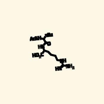 CCCC[C@H](NC(C)=O)C(=O)N[C@@H](CCCCNC(=N)N)C(=O)O